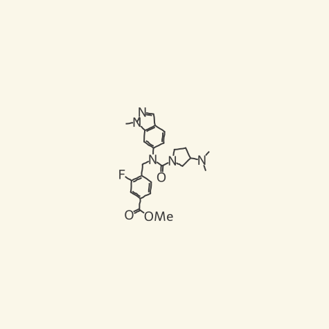 COC(=O)c1ccc(CN(C(=O)N2CCC(N(C)C)C2)c2ccc3cnn(C)c3c2)c(F)c1